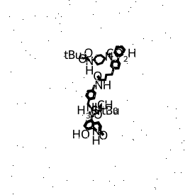 CC(C)(C)OC(=O)NC1CCC(N(C(=O)O)c2cc(CCCC(=O)NCc3ccc(CNC[C@@H](O[Si](C)(C)C(C)(C)C)c4ccc(O)c5[nH]c(=O)ccc45)cc3)ccc2-c2ccccc2)CC1